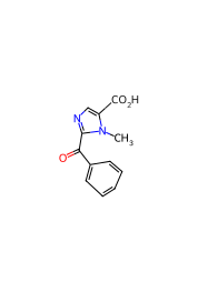 Cn1c(C(=O)O)cnc1C(=O)c1ccccc1